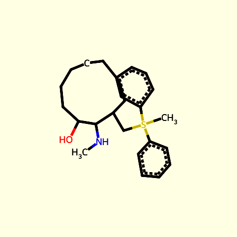 CNC1C(O)CCCCCCCC1CS(C)(c1ccccc1)c1ccccc1